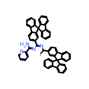 N/C(=N\C(=N/C(I)c1ccc2c(c1)C1(c3ccccc3-c3ccccc31)c1ccccc1-2)c1ccc2c(c1)C1(c3ccccc3-c3ccccc31)c1ccccc1-2)c1ccccn1